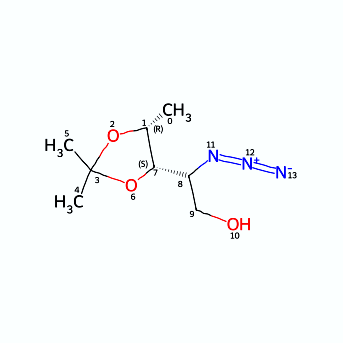 C[C@H]1OC(C)(C)O[C@H]1C(CO)N=[N+]=[N-]